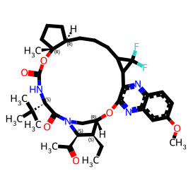 CC[C@@H]1[C@@H]2CN(C(=O)[C@H](C(C)(C)C)NC(=O)O[C@]3(C)CCC[C@H]3CCCC3C(c4nc5ccc(OC)cc5nc4O2)C3(F)F)[C@@H]1C(C)=O